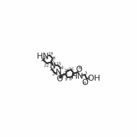 O=C(O)CNC(=O)C1CCC(C(=O)N2CCN(C3CCNCC3)CC2)CC1